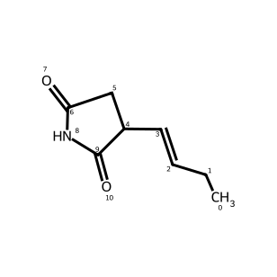 CCC=CC1CC(=O)NC1=O